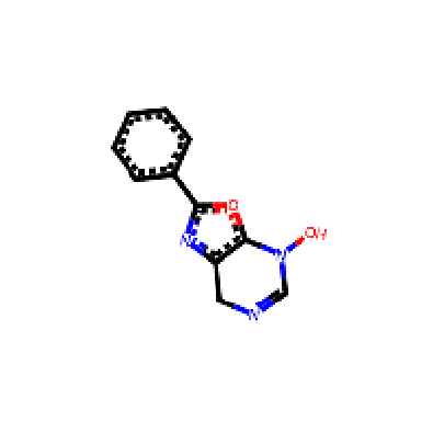 ON1C=NCc2nc(-c3ccccc3)oc21